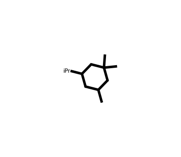 CC1CC(C(C)C)CC(C)(C)C1